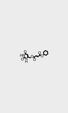 O=C(/C=C/C(=O)OC1CCCCC1)OCc1cc(=O)[nH]c(=O)[nH]1